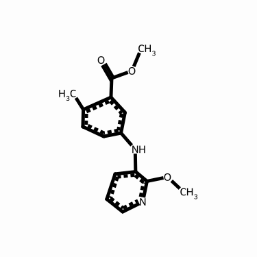 COC(=O)c1cc(Nc2cccnc2OC)ccc1C